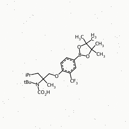 CC(C)CC(C)(COc1ccc(B2OC(C)(C)C(C)(C)O2)cc1C(F)(F)F)N(C(=O)O)C(C)(C)C